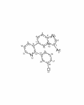 CC(=O)c1cnc2ccc(-c3cccnc3-c3cccc(Cl)c3)cn12